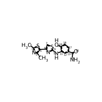 Cc1nc(C)c(-c2csc(Nc3cc(C(N)=O)ccc3O)n2)s1